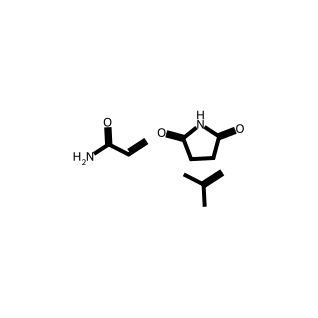 C=C(C)C.C=CC(N)=O.O=C1CCC(=O)N1